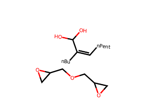 C(OCC1CO1)C1CO1.CCCCCC=C(CCCC)C(O)O